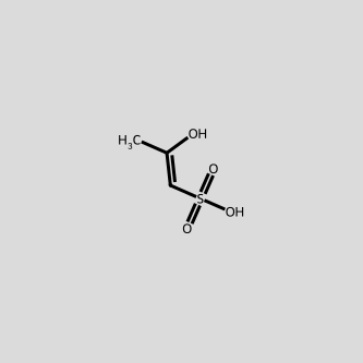 CC(O)=CS(=O)(=O)O